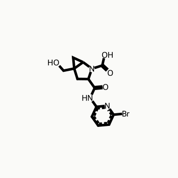 O=C(Nc1cccc(Br)n1)C1CC2(CO)CC2N1C(=O)O